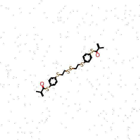 C=C(C)C(=O)Sc1ccc(SCCSSCCSc2ccc(SC(=O)C(=C)C)cc2)cc1